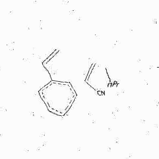 C=CC#N.C=Cc1ccccc1.CCCC